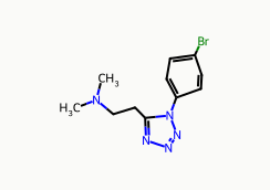 CN(C)CCc1nnnn1-c1ccc(Br)cc1